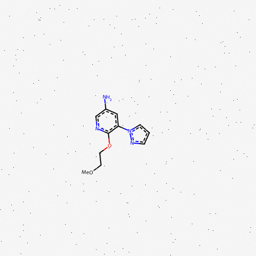 COCCOc1ncc(N)cc1-n1cccn1